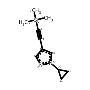 C[Si](C)(C)C#Cc1cnn(C2CC2)c1